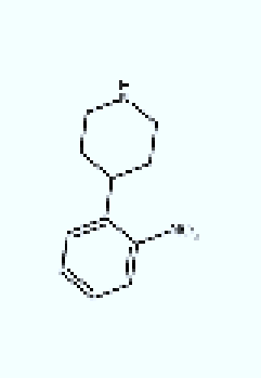 O=[N+]([O-])c1ccccc1C1CCNCC1